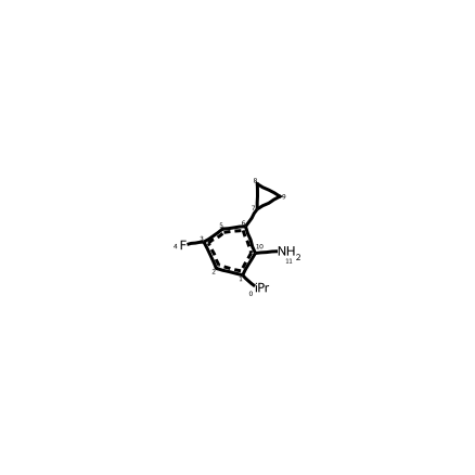 CC(C)c1cc(F)cc(C2CC2)c1N